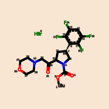 Br.CC(C)(C)OC(=O)N1C[C@@H](c2c(F)c(F)cc(F)c2F)CC1C(=O)CN1CCOCC1